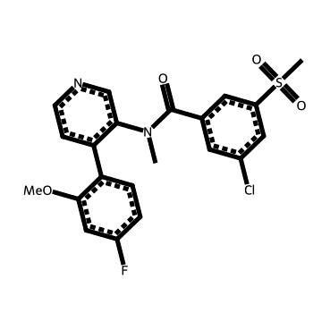 COc1cc(F)ccc1-c1ccncc1N(C)C(=O)c1cc(Cl)cc(S(C)(=O)=O)c1